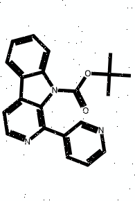 CC(C)(C)OC(=O)n1c2ccccc2c2ccnc(-c3cccnc3)c21